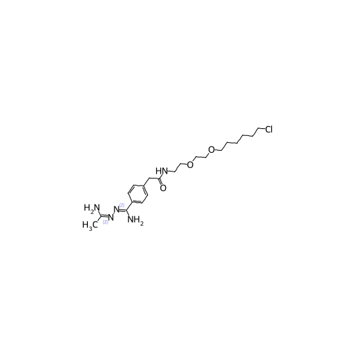 C/C(N)=N/N=C(\N)c1ccc(CC(=O)NCCOCCOCCCCCCCl)cc1